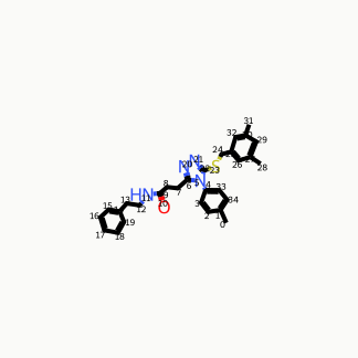 Cc1ccc(-n2c(CCC(=O)NCCc3ccccc3)nnc2SCc2cc(C)cc(C)c2)cc1